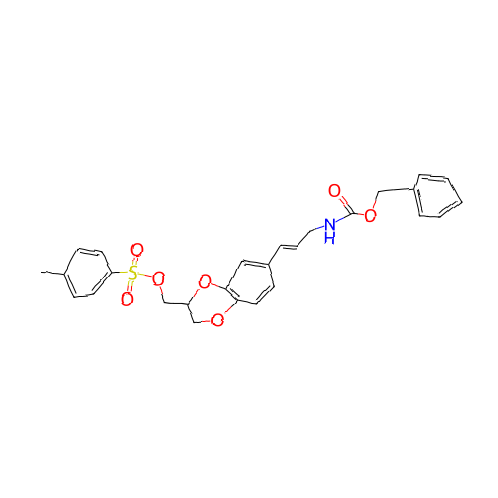 Cc1ccc(S(=O)(=O)OCC2COc3ccc(C=CCNC(=O)OCc4ccccc4)cc3O2)cc1